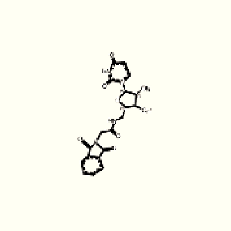 O=C(CN1C(=O)c2ccccc2C1=O)NC[C@H]1O[C@@H](n2ccc(=O)[nH]c2=O)[C@@H](O)C1O